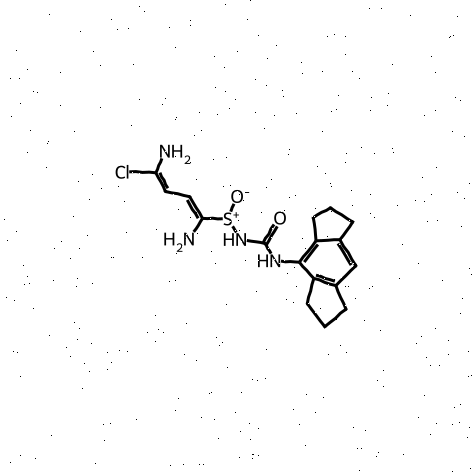 N/C(Cl)=C\C=C(/N)[S+]([O-])NC(=O)Nc1c2c(cc3c1CCC3)CCC2